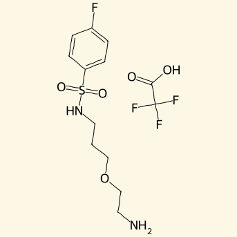 NCCOCCCNS(=O)(=O)c1ccc(F)cc1.O=C(O)C(F)(F)F